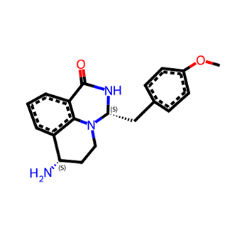 COc1ccc(C[C@H]2NC(=O)c3cccc4c3N2CC[C@@H]4N)cc1